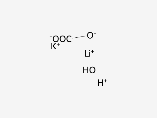 O=C([O-])[O-].[H+].[K+].[Li+].[OH-]